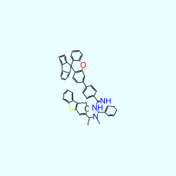 CC(C1=Cc2sc3ccccc3c2CC1)N(C)C(NC(=N)c1ccc(-c2ccc3c(c2)Oc2ccccc2C32c3ccccc3-c3ccccc32)cc1)C1=CCCC=C1